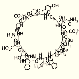 CCCC[C@H]1C(=O)N(C)[C@@H](CCCC)C(=O)N[C@@H](CCC(=O)O)C(=O)N[C@H](C(=O)NCC(N)=O)CSCC(=O)N[C@@H](Cc2ccc(O)cc2)C(=O)N2CCCC[C@H]2C(=O)N[C@@H](CC(=O)O)C(=O)N2CCC[C@H]2C(=O)N[C@@H](CN)C(=O)N[C@@H](CCC(=O)O)C(=O)N2C[C@H](O)C[C@H]2C(=O)N[C@@H](Cc2c[nH]c3ccccc23)C(=O)N[C@@H](CCN)C(=O)N[C@@H](Cc2c[nH]c3ccccc23)C(=O)N1C